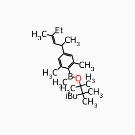 CC/C(C)=C\C(C)c1cc(C)c(B(C)OC(C)(C)C(C)(C)C(C)CC)c(C)c1